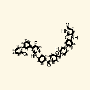 O=C1CC[C@H](Nc2ccc(N3CCN(CC4(O)CCN(C(=O)[C@H]5CC[C@H](Nc6ncc(F)c(-c7cccc(-n8ccccc8=O)c7)n6)CC5)CC4)CC3)c(F)c2)C(=O)N1